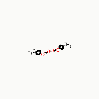 Cc1ccc(OCCOCOCCOc2ccc(C)cc2)cc1